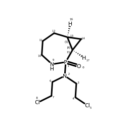 O=P1(N(CCCl)CCCl)NCCC[C@H]2C[C@H]21